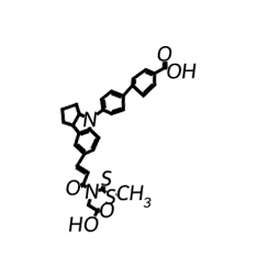 CSC(=S)N(CC(=O)O)C(=O)/C=C/c1ccc2c(c1)C1CCCC1N2c1ccc(-c2ccc(C(=O)O)cc2)cc1